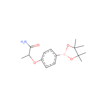 CC(Oc1ccc(B2OC(C)(C)C(C)(C)O2)cc1)C(N)=O